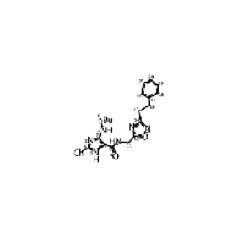 CCCCNc1nc(Cl)[nH]c1C(=O)NCc1nc(CCc2ccccc2)no1